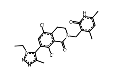 CCn1nnc(C)c1-c1cc(Cl)c2c(c1Cl)C(=O)N(Cc1c(C)cc(C)[nH]c1=O)CC2